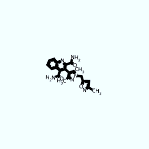 Cc1cc(Cn2nc(C)c(-c3c(C(N)=O)nc4ccccc4c3C(N)=O)c2C)on1